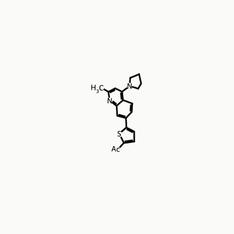 CC(=O)c1ccc(-c2ccc3c(N4CCCC4)cc(C)nc3c2)s1